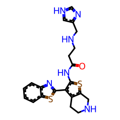 O=C(CCNCc1c[nH]cn1)Nc1sc2c(c1-c1nc3ccccc3s1)CCNC2